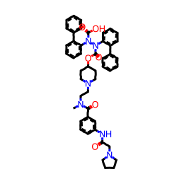 CN(CCN1CCC(OC(=O)N(c2ccccc2-c2ccccc2)N(C(=O)O)c2ccccc2-c2ccccc2)CC1)C(=O)c1cccc(NC(=O)CN2CCCC2)c1